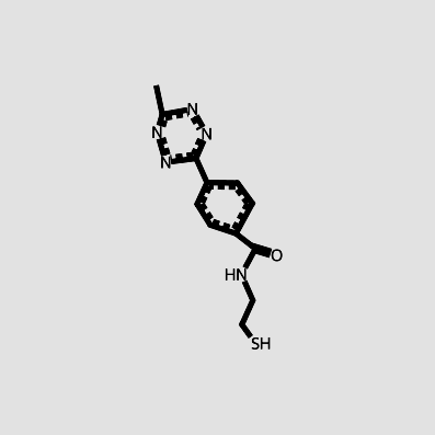 Cc1nnc(-c2ccc(C(=O)NCCS)cc2)nn1